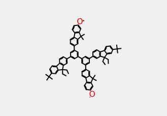 CCC1(CC)c2cc(-c3cc(-c4cc(-c5ccc6c(c5)C(C)(C)c5cc(OC)ccc5-6)cc(-c5ccc6c(c5)C(CC)(CC)c5cc(C(C)(C)C)ccc5-6)c4)cc(-c4ccc5c(c4)C(C)(C)c4cc(OC)ccc4-5)c3)ccc2-c2ccc(C(C)(C)C)cc21